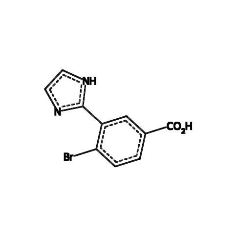 O=C(O)c1ccc(Br)c(-c2ncc[nH]2)c1